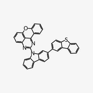 c1ccc2c(c1)Oc1cccc3nc(-n4c5ccccc5c5ccc(-c6ccc7sc8ccccc8c7c6)cc54)nc-2c13